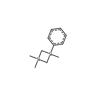 C[Si]1(C)C[Si](C)(c2ccccc2)C1